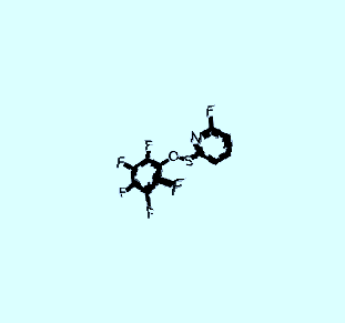 Fc1cccc(SOc2c(F)c(F)c(F)c(F)c2F)n1